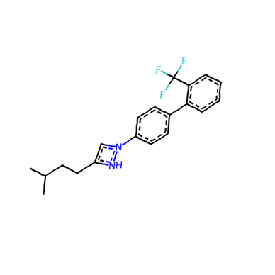 CC(C)CCc1cn(-c2ccc(-c3ccccc3C(F)(F)F)cc2)[nH]1